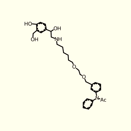 CC(=O)N(c1ccccc1)c1cccc(COCCOCCCCCCNCC(O)c2ccc(O)c(CO)c2)c1